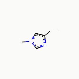 CCOC(=O)c1cn(C(C)C)cn1